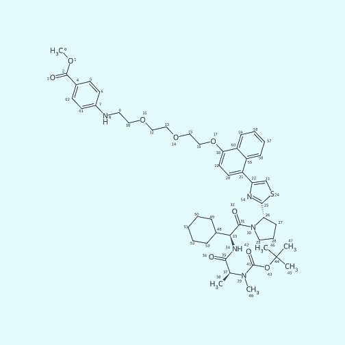 COC(=O)c1ccc(NCCOCCOCCOc2ccc(-c3csc([C@@H]4CCCN4C(=O)[C@@H](NC(=O)[C@H](C)N(C)C(=O)OC(C)(C)C)C4CCCCC4)n3)c3ccccc23)cc1